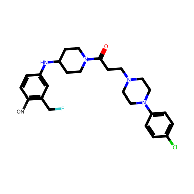 O=Nc1ccc(NC2CCN(C(=O)CCN3CCN(c4ccc(Cl)cc4)CC3)CC2)cc1CF